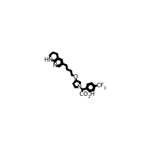 O=C(O)C(c1ccc(C(F)(F)F)cc1)N1CC[C@@H](OCCCCc2cnc3c(c2)CCCN3)C1